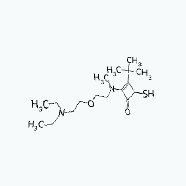 CCN(CC)CCOCCN(C)C1=C(C(C)(C)C)C(S)C1=O